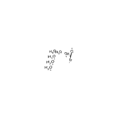 O.O.O.O.O.O.[Cl][Er]